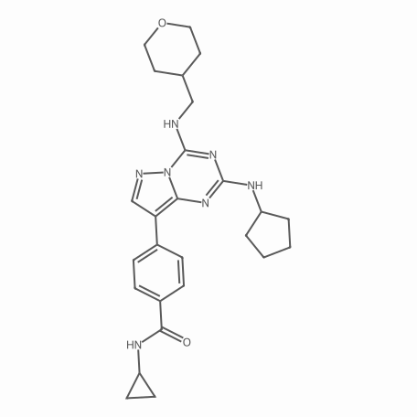 O=C(NC1CC1)c1ccc(-c2cnn3c(NCC4CCOCC4)nc(NC4CCCC4)nc23)cc1